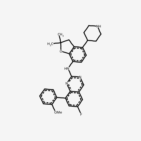 COc1ccccc1-c1cc(F)cc2cnc(Nc3ccc(C4CCNCC4)c4c3OC(C)(C)C4)nc12